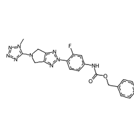 Cn1nnnc1N1Cc2nn(-c3ccc(NC(=O)OCc4ccccc4)cc3F)nc2C1